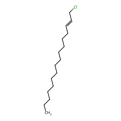 CCCCCCCCCCCCCC=CCCl